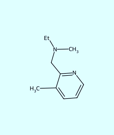 CCN(C)Cc1ncccc1C